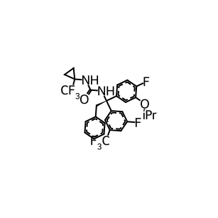 CC(C)Oc1cc([C@@](Cc2ccccc2)(NC(=O)NC2(C(F)(F)F)CC2)c2cc(F)cc(C(F)(F)F)c2)ccc1F